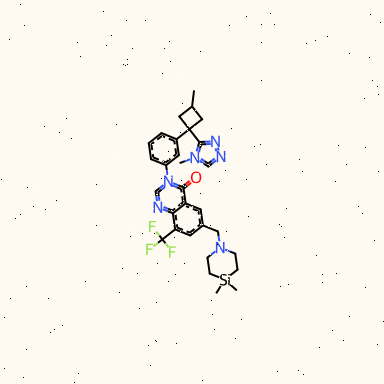 CC1CC(c2cccc(-n3cnc4c(C(F)(F)F)cc(CN5CC[Si](C)(C)CC5)cc4c3=O)c2)(c2nncn2C)C1